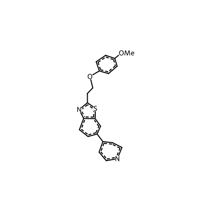 COc1ccc(OCCc2nc3ccc(-c4ccncc4)cc3s2)cc1